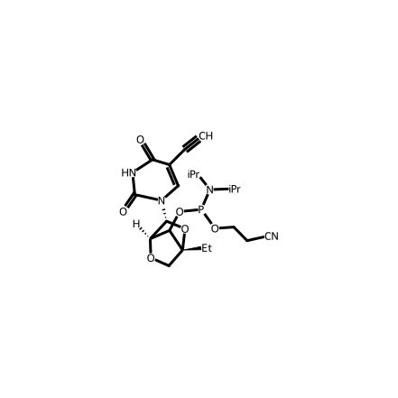 C#Cc1cn([C@@H]2O[C@]3(CC)CO[C@@H]2C3OP(OCCC#N)N(C(C)C)C(C)C)c(=O)[nH]c1=O